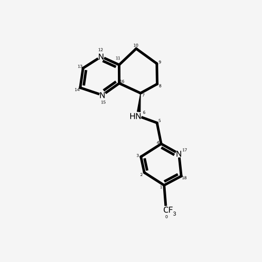 FC(F)(F)c1ccc(CN[C@@H]2CCCc3nccnc32)nc1